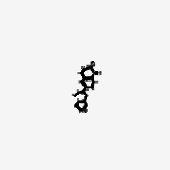 CCC(Cc1cccnc1)c1ccc2c(c1)CCC(=O)N2